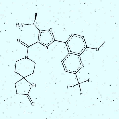 COc1ccc(-c2nc(C(=O)N3CCC4(CCC(=O)N4)CC3)c([C@H](C)N)o2)c2ccc(C(F)(F)F)nc12